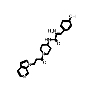 NC(=Cc1ccc(O)cc1)C(=O)NC1CCN(C(=O)CCn2ccc3ccncc32)CC1